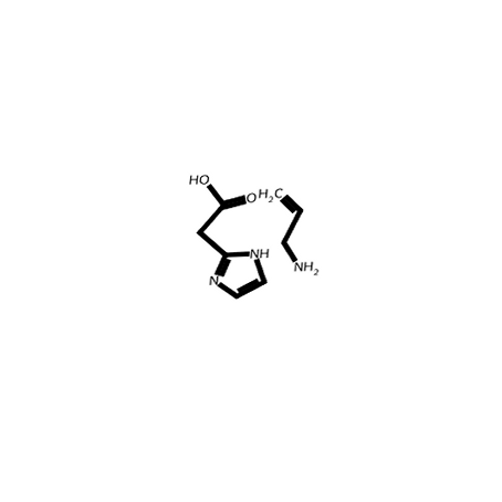 C=CCN.O=C(O)Cc1ncc[nH]1